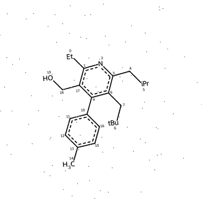 CCc1nc(CC(C)C)c([CH]C(C)(C)C)c(-c2ccc(C)cc2)c1CO